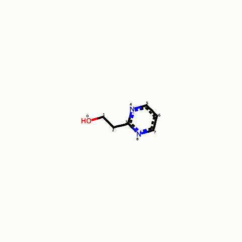 OC[CH]c1ncccn1